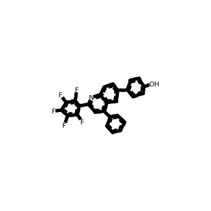 Oc1ccc(-c2ccc3nc(-c4c(F)c(F)c(F)c(F)c4F)cc(-c4ccccc4)c3c2)cc1